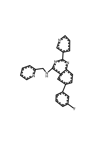 Fc1cccc(-c2ccc3nc(-c4cccnc4)nc(NCc4ccccn4)c3c2)c1